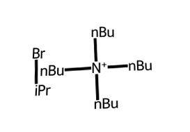 CC(C)Br.CCCC[N+](CCCC)(CCCC)CCCC